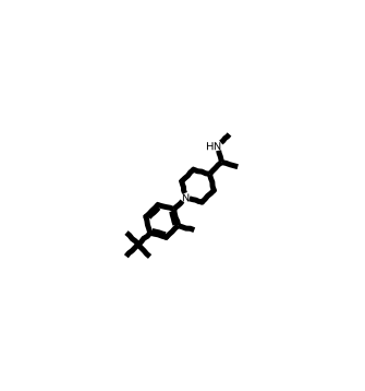 CNC(C)C1CCN(c2ccc(C(C)(C)C)cc2C)CC1